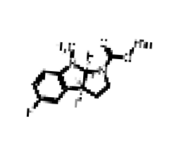 CN1c2ccc(F)cc2[C@]2(F)CCN(C(=O)OC(C)(C)C)[C@H]12